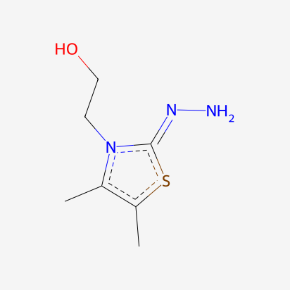 Cc1sc(=NN)n(CCO)c1C